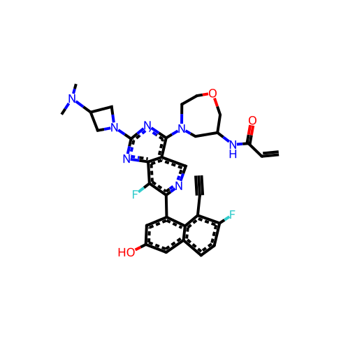 C#Cc1c(F)ccc2cc(O)cc(-c3ncc4c(N5CCOCC(NC(=O)C=C)C5)nc(N5CC(N(C)C)C5)nc4c3F)c12